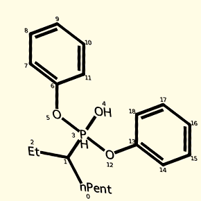 CCCCCC(CC)[PH](O)(Oc1ccccc1)Oc1ccccc1